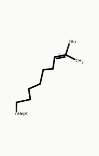 CCCCCCCCCCCCC/C=C(\C)C(C)(C)C